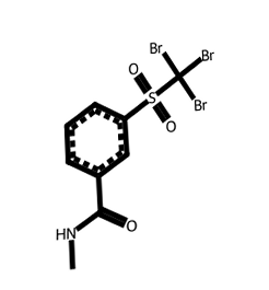 CNC(=O)c1cccc(S(=O)(=O)C(Br)(Br)Br)c1